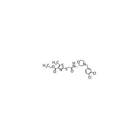 CCOC(=O)c1nc(SCC(=O)NC[C@H]2CN(Cc3ccc(Cl)c(Cl)c3)CCO2)sc1C